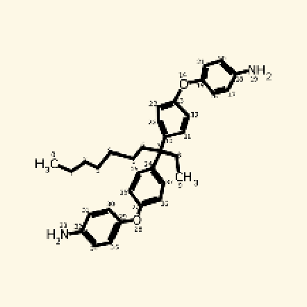 CCCCCCCC(CC)(c1ccc(Oc2ccc(N)cc2)cc1)c1ccc(Oc2ccc(N)cc2)cc1